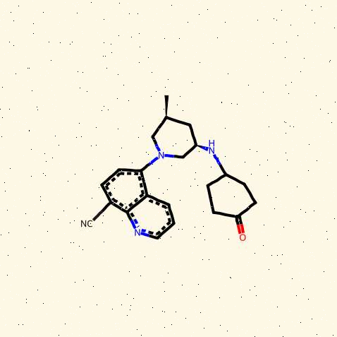 C[C@H]1C[C@@H](NC2CCC(=O)CC2)CN(c2ccc(C#N)c3ncccc23)C1